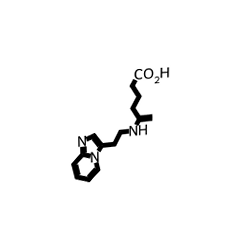 C=C(CCCC(=O)O)NCCc1cnc2ccccn12